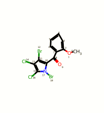 COc1ccccc1C(=O)c1c(Br)c(Cl)c(Cl)n1Br